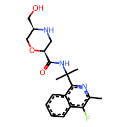 Cc1nc(C(C)(C)NC(=O)[C@@H]2CN[C@H](CO)CO2)c2ccccc2c1F